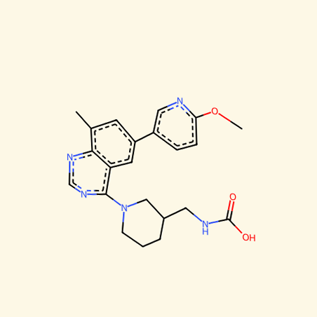 COc1ccc(-c2cc(C)c3ncnc(N4CCCC(CNC(=O)O)C4)c3c2)cn1